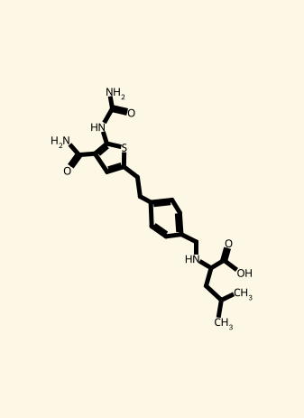 CC(C)CC(NCc1ccc(CCc2cc(C(N)=O)c(NC(N)=O)s2)cc1)C(=O)O